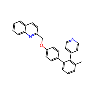 Cc1cccc(-c2ccc(OCc3ccc4ccccc4n3)cc2)c1-c1ccncc1